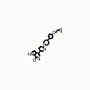 CN(C)CCOc1ccc(C2CCN(c3ccc(-c4cn(C)c(=O)c5[nH]ccc45)cn3)CC2)cc1